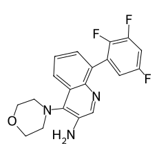 Nc1cnc2c(-c3cc(F)cc(F)c3F)cccc2c1N1CCOCC1